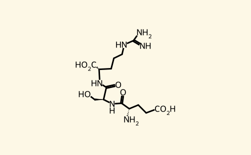 N=C(N)NCCC[C@H](NC(=O)[C@H](CO)NC(=O)[C@@H](N)CCC(=O)O)C(=O)O